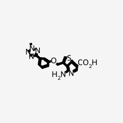 Cn1nnc(-c2cccc(OCc3csc4c(C(=O)O)cnc(N)c34)c2)n1